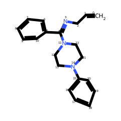 C=CCN=C(c1ccccc1)N1CCN(c2ccccc2)CC1